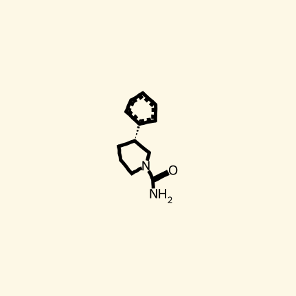 NC(=O)N1CCC[C@H](c2ccccc2)C1